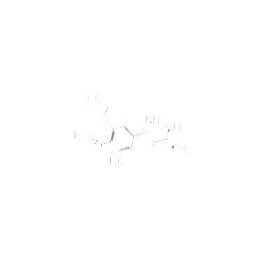 CCOc1cc(C(N)CC(C)O)ccc1OC.Cl